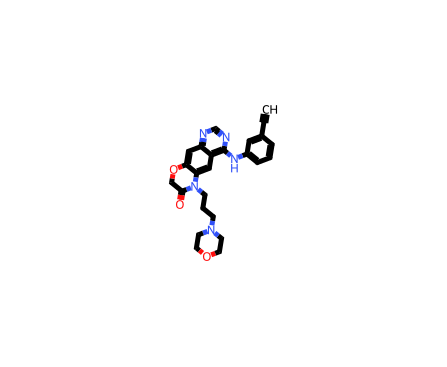 C#Cc1cccc(Nc2ncnc3cc4c(cc23)N(CCCN2CCOCC2)C(=O)CO4)c1